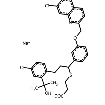 CC(C)(O)c1cc(Cl)ccc1CCC(SCCC(=O)[O-])c1cccc(OCc2ccc3ccc(Cl)cc3n2)c1.[Na+]